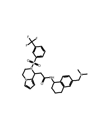 CN(C)Cc1ccc2c(c1)CCCC2NC(=O)CC1c2cccn2CCN1S(=O)(=O)c1cccc(C(F)(F)F)c1